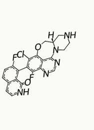 O=c1[nH]ccc2ccc(F)c(-c3c(Cl)c4c5c(ncnc5c3F)N3CCNC[C@H]3CO4)c12